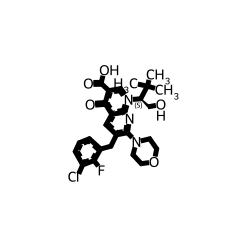 CC(C)(C)[C@@H](CO)n1cc(C(=O)O)c(=O)c2cc(Cc3cccc(Cl)c3F)c(N3CCOCC3)nc21